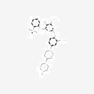 CNc1nc(Nc2ccc(N3CCC(N4CCN(C)CC4)CC3)cc2OC)nc(Nc2ccccc2P(C)(C)=O)c1Cl